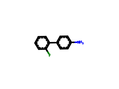 Nc1ccc(-c2c[c]ccc2F)cc1